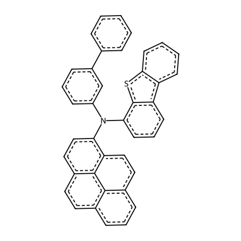 c1ccc(-c2cccc(N(c3ccc4ccc5cccc6ccc3c4c56)c3cccc4c3sc3ccccc34)c2)cc1